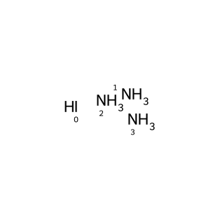 I.N.N.N